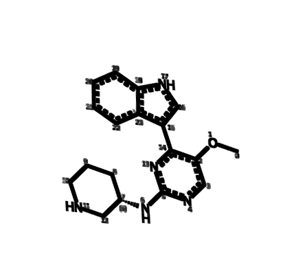 COc1cnc(N[C@H]2CCCNC2)nc1-c1c[nH]c2ccccc12